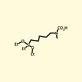 CCO[Si](CC)(CCCCCN(C)C(=O)O)OCC